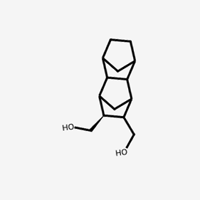 OCC1C2CC(C3C4CCC(C4)C23)[C@@H]1CO